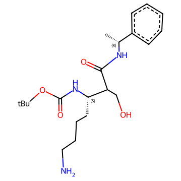 C[C@@H](NC(=O)C(CO)[C@H](CCCCN)NC(=O)OC(C)(C)C)c1ccccc1